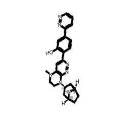 CN1CCN([C@@H]2C[C@H]3CC[C@@H](C2)N3)c2nnc(-c3ccc(-c4cccnn4)cc3O)cc21